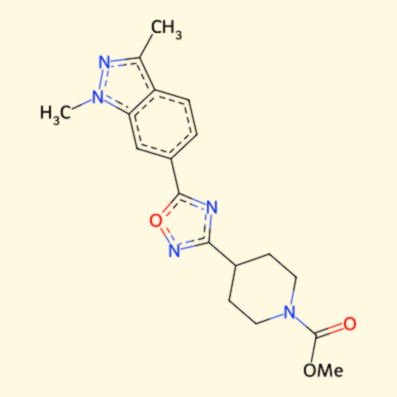 COC(=O)N1CCC(c2noc(-c3ccc4c(C)nn(C)c4c3)n2)CC1